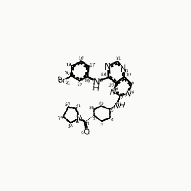 O=C([C@H]1CC[C@H](Nc2ncc3ncnc(Nc4cccc(Br)c4)c3n2)CC1)N1CCCC1